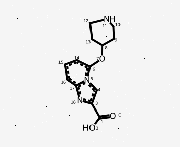 O=C(O)c1cn2c(OC3CCNCC3)cccc2n1